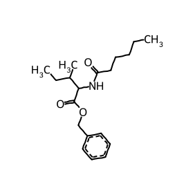 CCCCCC(=O)NC(C(=O)OCc1ccccc1)C(C)CC